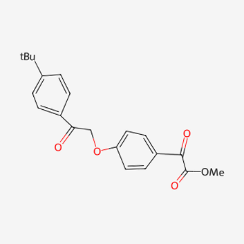 COC(=O)C(=O)c1ccc(OCC(=O)c2ccc(C(C)(C)C)cc2)cc1